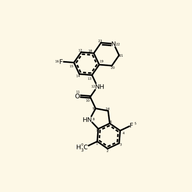 Cc1ccc(F)c2c1NC(C(=O)Nc1cc(F)cc3c1CCN=C3)C2